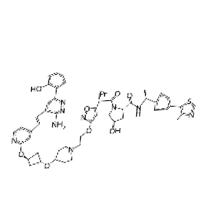 Cc1ncsc1-c1ccc([C@H](C)NC(=O)[C@@H]2C[C@@H](O)CN2C(=O)[C@@H](c2cc(OCCN3CCC(O[C@H]4C[C@H](Oc5cc(/C=C/c6cc(-c7ccccc7O)nnc6N)ccn5)C4)CC3)no2)C(C)C)cc1